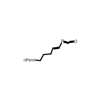 CCCCCCCC/C=C/N=C=O